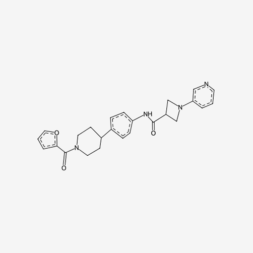 O=C(Nc1ccc(C2CCN(C(=O)c3ccco3)CC2)cc1)C1CN(c2cccnc2)C1